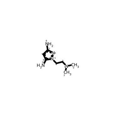 CN(C)CCn1nc(N)cc1N